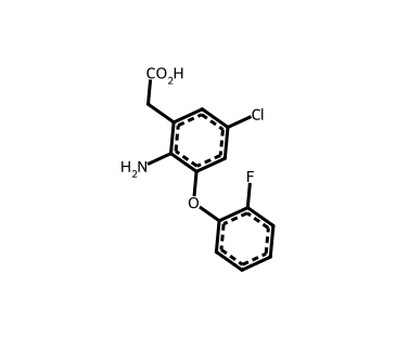 Nc1c(CC(=O)O)cc(Cl)cc1Oc1ccccc1F